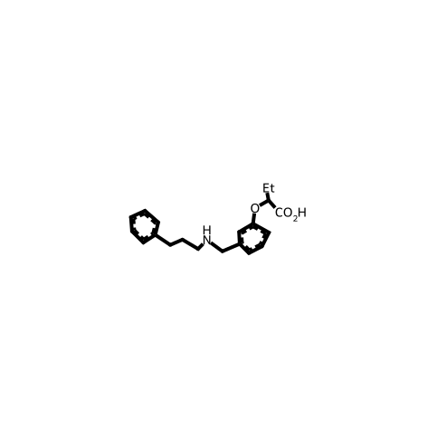 CCC(Oc1cccc(CNCCCc2ccccc2)c1)C(=O)O